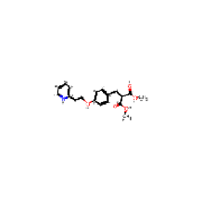 COC(=O)C(Cc1ccc(OCCc2ccccn2)cc1)C(=O)OC